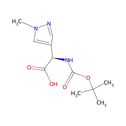 Cn1cc([C@@H](NC(=O)OC(C)(C)C)C(=O)O)cn1